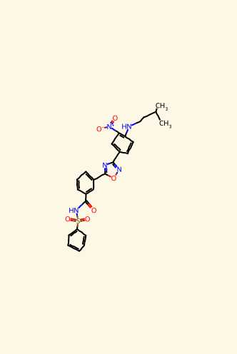 CC(C)CCNc1ccc(-c2noc(-c3cccc(C(=O)NS(=O)(=O)c4ccccc4)c3)n2)cc1[N+](=O)[O-]